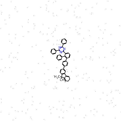 CC1(C)C2=CCCC=C2c2cc(-c3ccc(-c4cccc(-c5nc(-c6ccccc6)nc(-c6ccccc6)n5)c4-c4ccccc4)cc3)ccc21